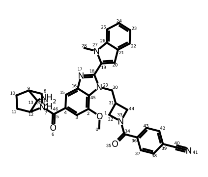 COc1cc(C(=O)N2CC3CCC2[C@@H]3N)cc2nc(-c3cc4ccccc4n3C)n(CC3CN(C(=O)c4ccc(C#N)cc4)C3)c12